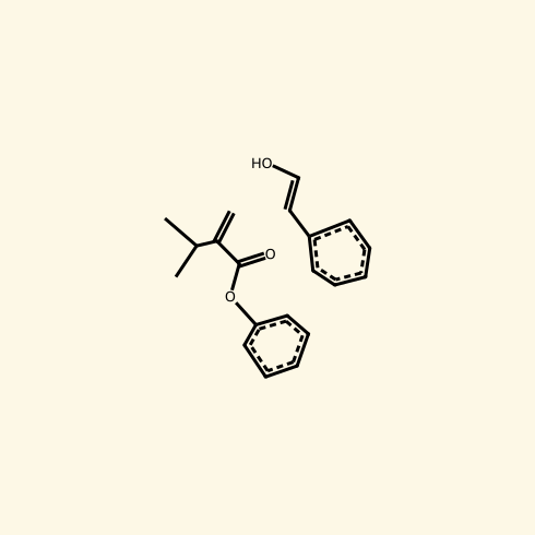 C=C(C(=O)Oc1ccccc1)C(C)C.OC=Cc1ccccc1